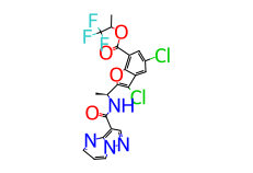 CC(OC(=O)c1cc(Cl)cc2c(Cl)c([C@H](C)NC(=O)c3cnn4cccnc34)oc12)C(F)(F)F